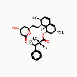 CC(c1ccccc1)C(C)(C)C(=O)O[C@H]1C[C@@H](C)C=C2C=C[C@H](C)[C@H](CC[C@@H]3C[C@@H](O)CC(=O)O3)[C@H]21